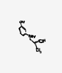 CC(O)CNc1cccc(O)c1